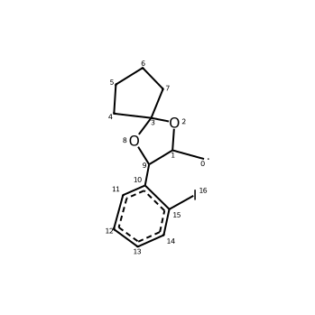 [CH2]C1OC2(CCCC2)OC1c1ccccc1I